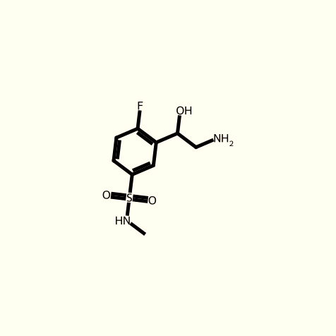 CNS(=O)(=O)c1ccc(F)c(C(O)CN)c1